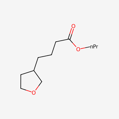 CCCOC(=O)CCCC1CCOC1